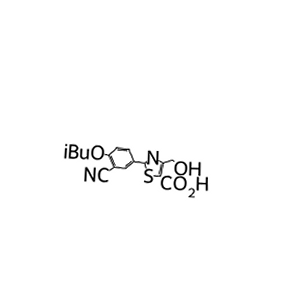 CC(C)COc1ccc(-c2nc(CO)c(C(=O)O)s2)cc1C#N